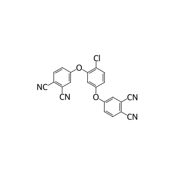 N#Cc1ccc(Oc2ccc(Cl)c(Oc3ccc(C#N)c(C#N)c3)c2)cc1C#N